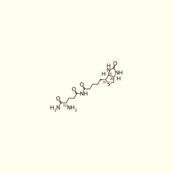 NC(=O)[C@@H](N)CCC(=O)NC(=O)CCCC[C@@H]1SC[C@@H]2NC(=O)N[C@@H]21